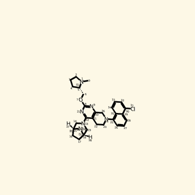 CN1CCC[C@H]1COc1nc2c(c(N3C[C@H]4CC[C@@H](C3)N4)n1)CCN(c1cccc3c(Cl)cccc13)C2